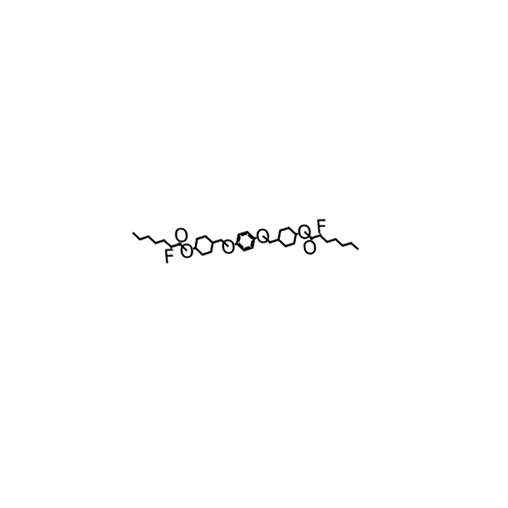 CCCCC[C@@H](F)C(=O)OC1CCC(COc2ccc(OCC3CCC(OC(=O)[C@H](F)CCCCC)CC3)cc2)CC1